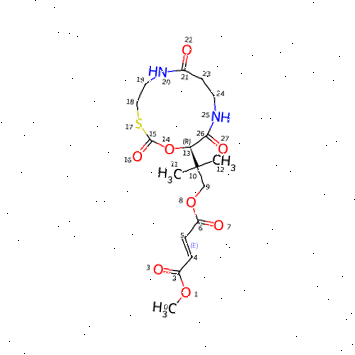 COC(=O)/C=C/C(=O)OCC(C)(C)[C@H]1OC(=O)SCCNC(=O)CCNC1=O